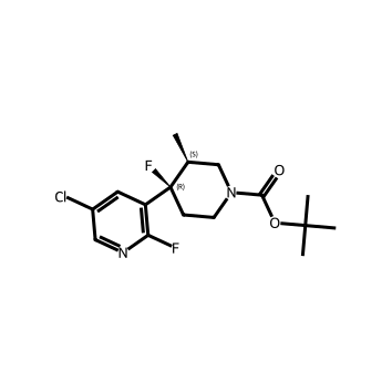 C[C@H]1CN(C(=O)OC(C)(C)C)CC[C@]1(F)c1cc(Cl)cnc1F